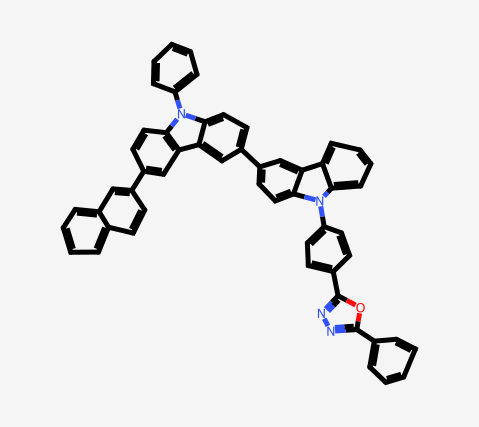 c1ccc(-c2nnc(-c3ccc(-n4c5ccccc5c5cc(-c6ccc7c(c6)c6cc(-c8ccc9ccccc9c8)ccc6n7-c6ccccc6)ccc54)cc3)o2)cc1